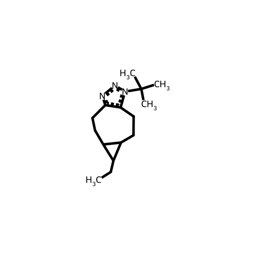 CCC1C2CCc3nnn(C(C)(C)C)c3CCC12